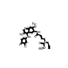 C#CCN(C/C=C/C(=O)Nc1cc2c(Nc3ccc(F)c(Cl)c3)c(C#N)cnc2cc1OCC)C(=O)OC(C)(C)C